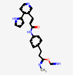 C/N=C(/CCc1ccc(NC(=O)/C=C/c2cnccc2-c2ccc[nH]2)cc1)OC=N